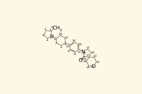 CC1CCCN1C1CCC(c2ccc(N3CCC4(CCOCC4)C3=O)cc2)CC1